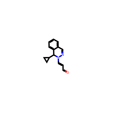 O=CC=CN1N=Cc2ccccc2C1C1CC1